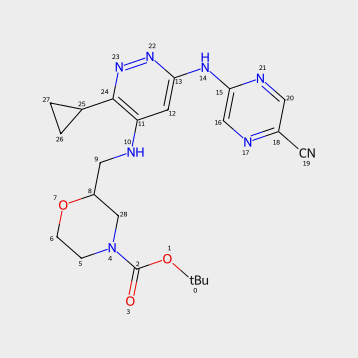 CC(C)(C)OC(=O)N1CCOC(CNc2cc(Nc3cnc(C#N)cn3)nnc2C2CC2)C1